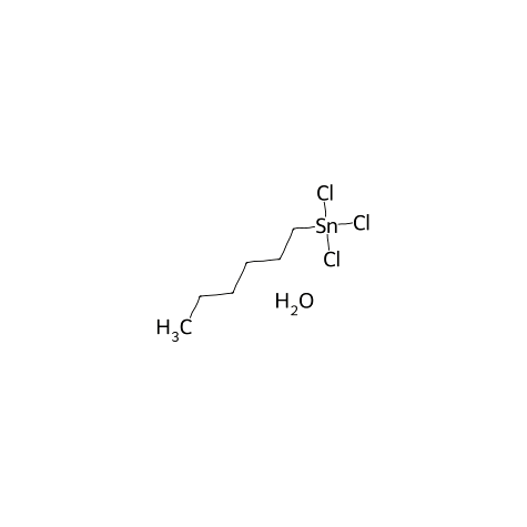 CCCCC[CH2][Sn]([Cl])([Cl])[Cl].O